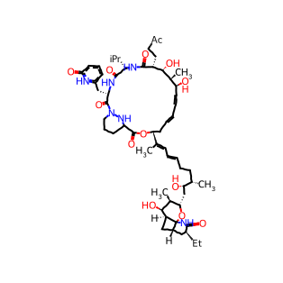 CC[C@H]1C[C@@H]2C[C@H]3[C@@H](O)[C@@H](C)[C@H](C[C@H](O)[C@@H](C)CC/C=C/C=C(\C)[C@@H]4C/C=C/C=C/[C@H](O)[C@H](C)[C@@H](O)[C@@H](CCC(C)=O)C(=O)N[C@@H](C(C)C)C(=O)N[C@@H](Cc5cccc(=O)[nH]5)C(=O)N5CCCC(N5)C(=O)O4)O[C@]23NC1=O